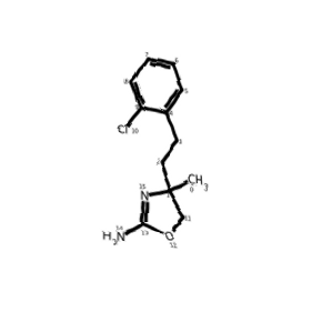 CC1(CCc2ccccc2Cl)COC(N)=N1